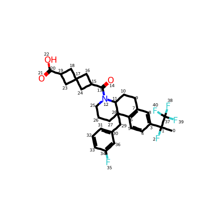 CC(F)(c1ccc2c(c1)CCC1N(C(=O)C3CC4(CC(C(=O)O)C4)C3)CCCC21Cc1cccc(F)c1)C(F)(F)F